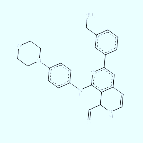 NCc1cccc(-c2cc3c(c(Nc4ccc(N5CCOCC5)cc4)n2)C(C=O)NC=C3)c1